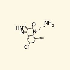 C#Cc1cc(Cl)cc2c3n[nH]c(C)c3c(=O)n(CCCN)c12